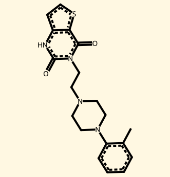 Cc1ccccc1N1CCN(CCn2c(=O)[nH]c3ccsc3c2=O)CC1